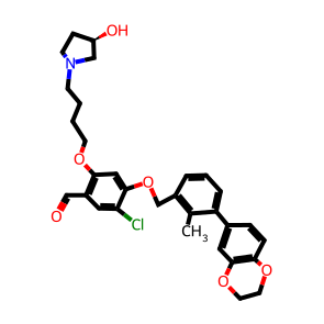 Cc1c(COc2cc(OCCCCN3CC[C@@H](O)C3)c(C=O)cc2Cl)cccc1-c1ccc2c(c1)OCCO2